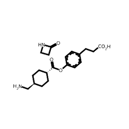 NC[C@H]1CC[C@H](C(=O)Oc2ccc(CCC(=O)O)cc2)CC1.O=C1CCN1